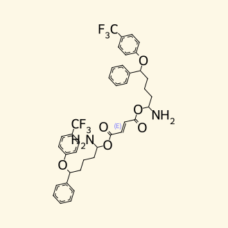 NC(CCCC(Oc1ccc(C(F)(F)F)cc1)c1ccccc1)OC(=O)/C=C/C(=O)OC(N)CCCC(Oc1ccc(C(F)(F)F)cc1)c1ccccc1